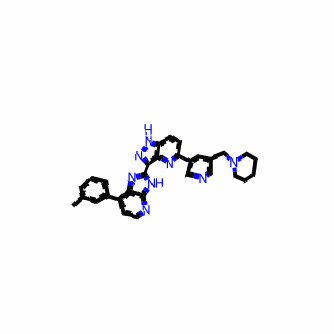 Cc1cccc(-c2ccnc3[nH]c(-c4n[nH]c5ccc(-c6cncc(CN7CCCCC7)c6)nc45)nc23)c1